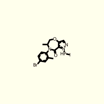 Cc1cc(Br)ccc1N1C(=O)c2c(cnn2PI)OCC1C